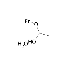 CCOC(C)O.O